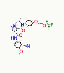 COc1ccc(NC(=O)c2cnn3c2C(=O)N(c2ccc(OCCOC(F)(F)F)cc2)C(C)C3)cc1C#N